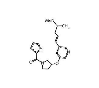 CN[C@@H](C)C/C=C/c1cncc(O[C@H]2CCN(C(=O)c3ccco3)C2)c1